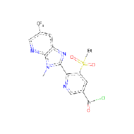 CCS(=O)(=O)c1cc(C(=O)Cl)cnc1-c1nc2cc(C(F)(F)F)cnc2n1C